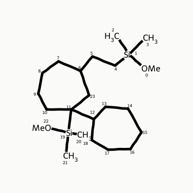 CO[Si](C)(C)CCC1CCCCC(C2CCCCCC2)([Si](C)(C)OC)C1